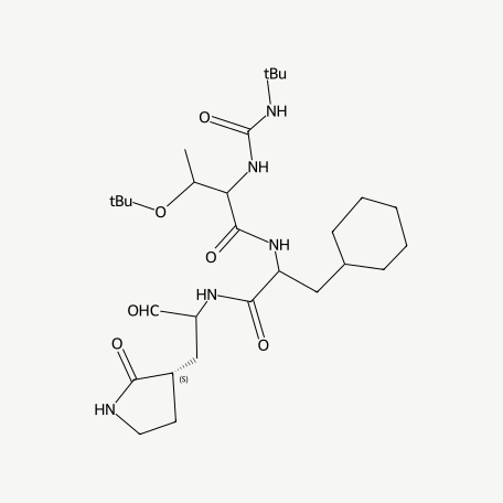 CC(OC(C)(C)C)C(NC(=O)NC(C)(C)C)C(=O)NC(CC1CCCCC1)C(=O)NC(C=O)C[C@@H]1CCNC1=O